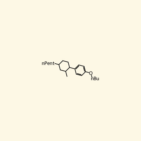 CCCCCC1CCC(c2ccc(OCCCC)cc2)C(C)C1